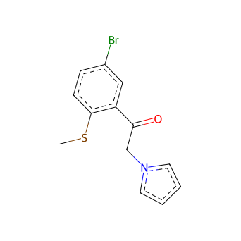 CSc1ccc(Br)cc1C(=O)Cn1cccc1